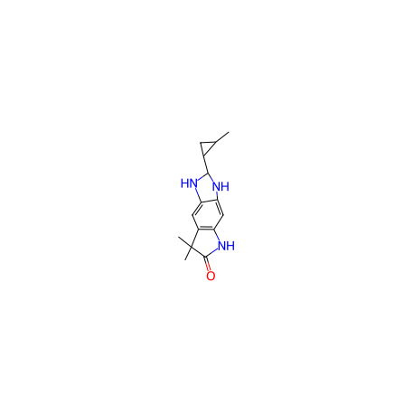 CC1CC1C1Nc2cc3c(cc2N1)C(C)(C)C(=O)N3